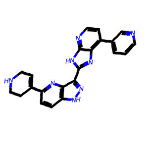 C1=C(c2ccc3[nH]nc(-c4nc5c(-c6cccnc6)ccnc5[nH]4)c3n2)CCNC1